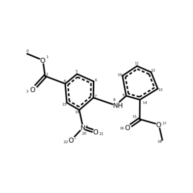 COC(=O)c1ccc(Nc2ccccc2C(=O)OC)c([N+](=O)[O-])c1